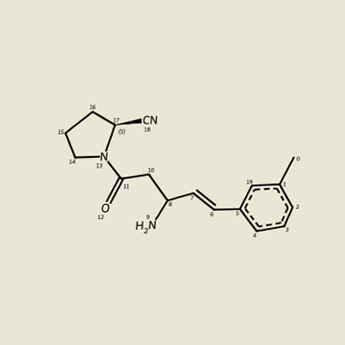 Cc1cccc(C=CC(N)CC(=O)N2CCC[C@H]2C#N)c1